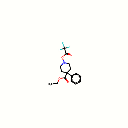 CCOC(=O)C1(c2ccccc2)CCN(OC(=O)C(F)(F)F)CC1